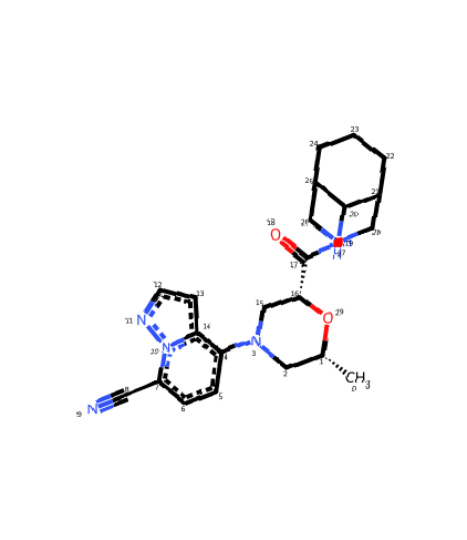 C[C@@H]1CN(c2ccc(C#N)n3nccc23)C[C@H](C(=O)NC2C3CCCC2CNC3)O1